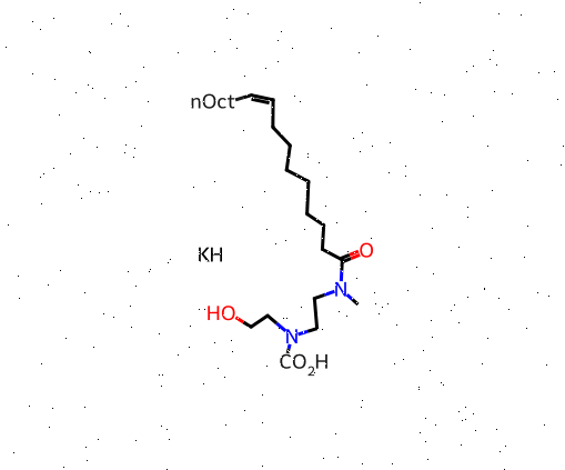 CCCCCCCC/C=C\CCCCCCCC(=O)N(C)CCN(CCO)C(=O)O.[KH]